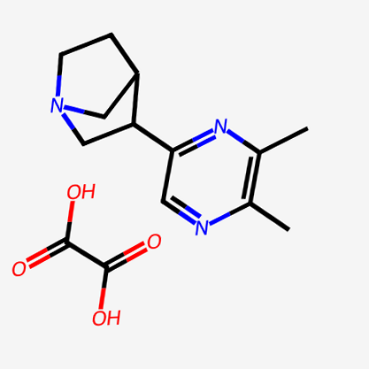 Cc1ncc(C2CN3CCC2C3)nc1C.O=C(O)C(=O)O